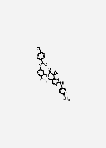 Cc1ccc(Nc2ncc3c(n2)C2(CC2)C(=O)N(c2cc(NC(=O)c4ccc(Cl)cc4)ccc2C)C3)cn1